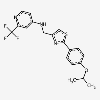 CC(C)Oc1ccc(-c2nc(CNc3ccnc(C(F)(F)F)c3)cs2)cc1